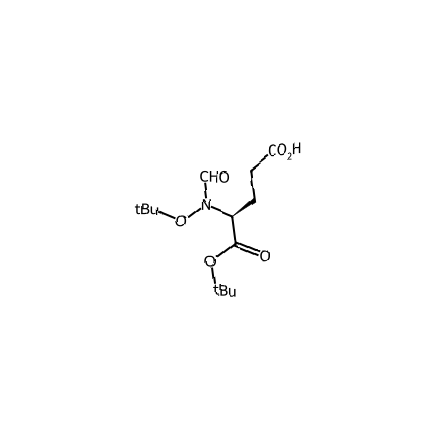 CC(C)(C)OC(=O)[C@H](CCC(=O)O)N(C=O)OC(C)(C)C